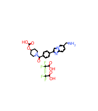 NCc1ccc2nc(-c3ccc(C(=O)N4CCC(OC(=O)O)CC4)cc3)cn2c1.O=C(O)C(F)(F)F.O=C(O)C(F)(F)F